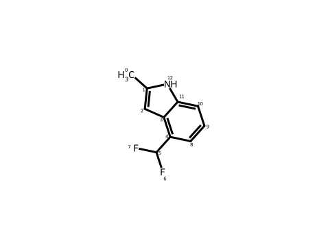 Cc1cc2c(C(F)F)cccc2[nH]1